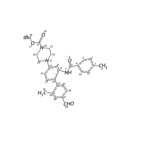 Cc1ccc(C(=O)Nc2cc(N3CCN(C(=O)OC(C)(C)C)CC3)ccc2-c2ccc(C=O)cc2C)cc1